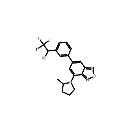 CC1CCCN1c1cc(-c2cccc(C(O)C(F)(F)F)c2)cc2nonc12